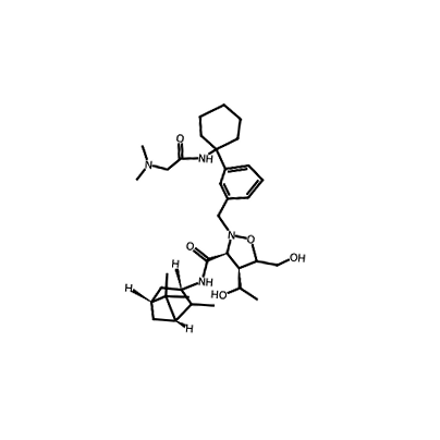 CC(O)[C@@H]1C(CO)ON(Cc2cccc(C3(NC(=O)CN(C)C)CCCCC3)c2)[C@@H]1C(=O)N[C@H]1C[C@H]2C[C@@H](C1C)C2(C)C